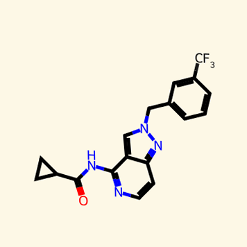 O=C(Nc1nccc2nn(Cc3cccc(C(F)(F)F)c3)cc12)C1CC1